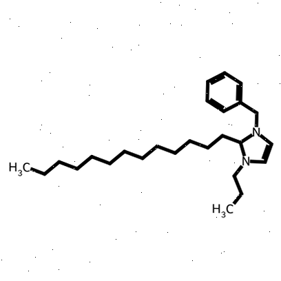 CCCCCCCCCCCCCC1N(CCC)C=CN1Cc1ccccc1